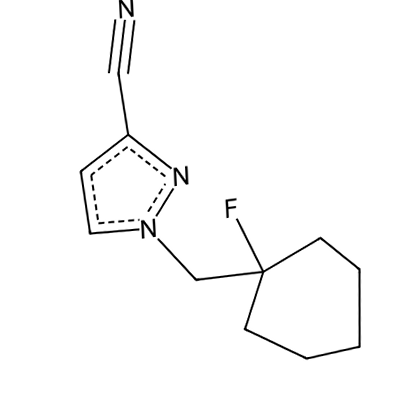 N#Cc1ccn(CC2(F)CCCCC2)n1